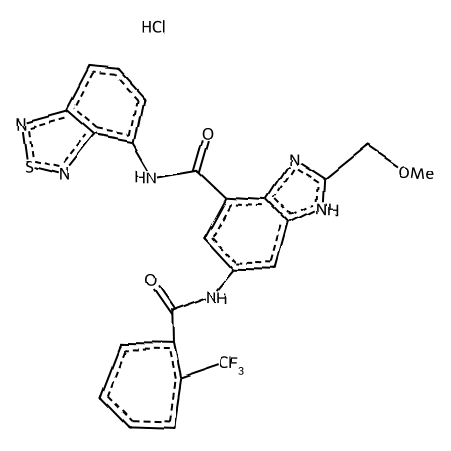 COCc1nc2c(C(=O)Nc3cccc4nsnc34)cc(NC(=O)c3ccccc3C(F)(F)F)cc2[nH]1.Cl